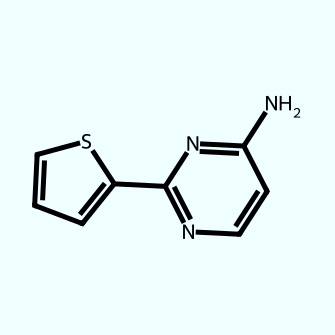 Nc1ccnc(-c2cccs2)n1